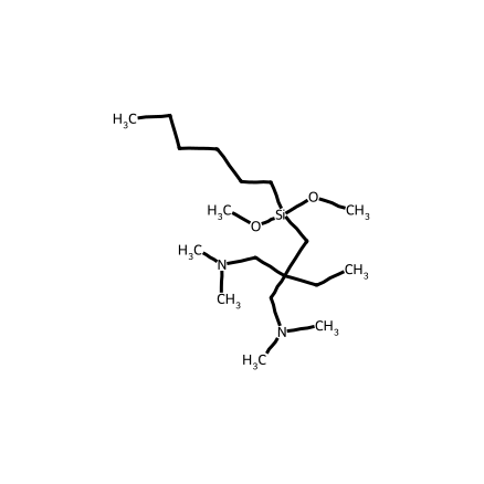 CCCCCC[Si](CC(CC)(CN(C)C)CN(C)C)(OC)OC